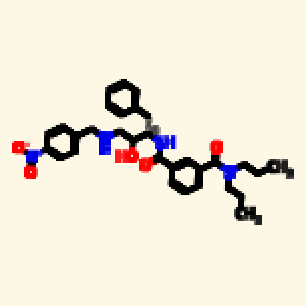 CCCN(CCC)C(=O)c1cccc(C(=O)N[C@@H](Cc2ccccc2)C(O)CNCc2ccc([N+](=O)[O-])cc2)c1